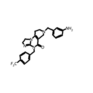 Nc1cccc(CN2CCC3=C(C2)C(=O)N(Cc2ccc(C(F)(F)F)cc2)C2=NCCN23)c1